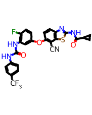 N#Cc1c(Oc2ccc(F)c(NC(=O)Nc3ccc(C(F)(F)F)cc3)c2)ccc2nc(NC(=O)C3CC3)sc12